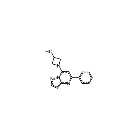 OC1CN(c2cc(-c3ccccc3)nc3ccnn23)C1